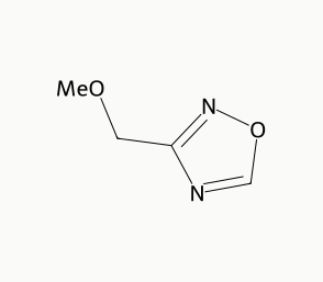 COCc1ncon1